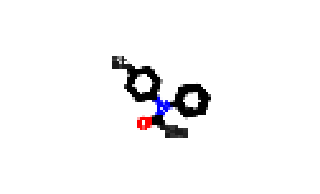 CCC1CCC(N(C(=O)C(C)(C)C)c2ccccc2)CC1